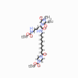 CC[C@H](C)[C@H]1C(=O)N([C@@H](CCCCNC(=O)OC(C)(C)C)C(=O)NCCCCCCCCCCC(=O)N2CCN(C(=O)OC(C)(C)C)CC2)CC(=O)N1C